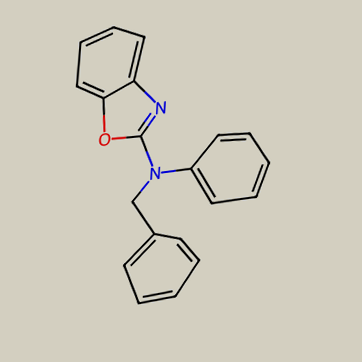 c1ccc(CN(c2ccccc2)c2nc3ccccc3o2)cc1